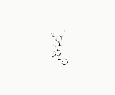 CCCCC[C@H](CN(O)C=O)C(=O)N(N)c1ncc(C(=O)N2CCCCC2)c(C(F)(F)F)n1